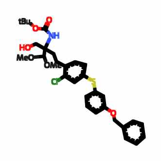 COC(OC)C(CO)(CCc1ccc(Sc2cccc(OCc3ccccc3)c2)cc1Cl)NC(=O)OC(C)(C)C